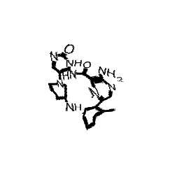 Cc1ccccc1-c1cnc(N)c(C(=O)Nc2[nH]c(=O)ncc2N2CCCC(N)C2)n1